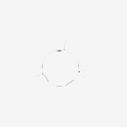 CC(=O)C1(C)C=CCC=C(C)CCC=C(C)CC1